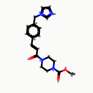 CC(C)(C)OC(=O)N1CCN(C(=O)C=Cc2ccc(Cn3ccnc3)cc2)CC1